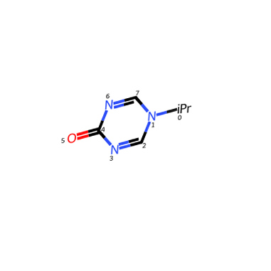 CC(C)n1cnc(=O)nc1